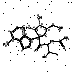 CC(O)C(NC(N)=O)C(=O)[C@@]1(n2cnc3c(N)ncnc32)O[C@H](CO)[C@@H](O)[C@H]1O